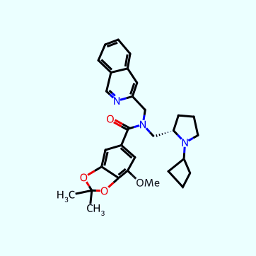 COc1cc(C(=O)N(Cc2cc3ccccc3cn2)C[C@@H]2CCCN2C2CCC2)cc2c1OC(C)(C)O2